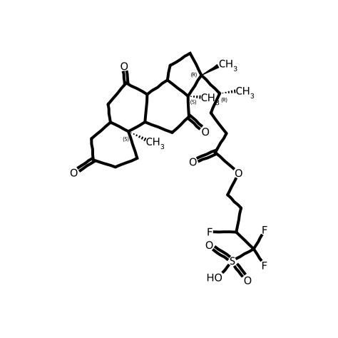 C[C@H](CCC(=O)OCCC(F)C(F)(F)S(=O)(=O)O)[C@@]1(C)CCC2C3C(=O)CC4CC(=O)CC[C@]4(C)C3CC(=O)[C@@]21C